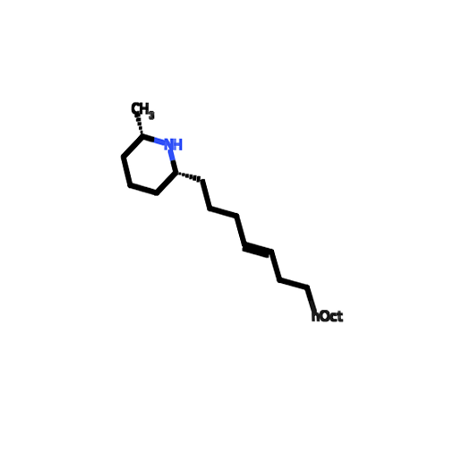 CCCCCCCCCCC=CCCC[C@@H]1CCC[C@H](C)N1